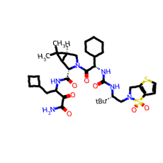 CC(C)(C)[C@@H](CN1Cc2sccc2S1(=O)=O)NC(=O)N[C@H](C(=O)N1C[C@H]2C([C@H]1C(=O)NC(CC1CCC1)C(=O)C(N)=O)C2(C)C)C1CCCCC1